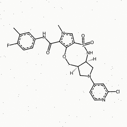 Cc1cc(NC(=O)c2c3c(cn2C)S(=O)(=O)N[C@H]2CN(c4ccnc(Cl)c4)C[C@H]2CO3)ccc1F